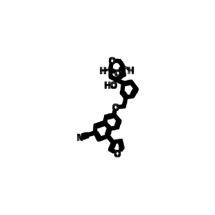 N#Cc1cc(-c2ccoc2)c2ccc(OCc3cccc([C@]4(O)C[C@@H]5CO[C@H](C4)O5)c3)cc2c1